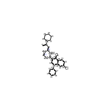 C=C(/C=C(\N=C/N)NCc1cn(-c2ccccc2)c2cc(Cl)ccc2c1=O)N1CCCCC1